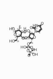 O=c1ccn([C@@H]2O[C@H](COP(=O)(O)OP(=O)(O)O)[C@@H](O)[C@H]2O)c(=O)[nH]1.OC[C@H]1O[C@H](O)[C@H](F)[C@@H](O)[C@H]1O